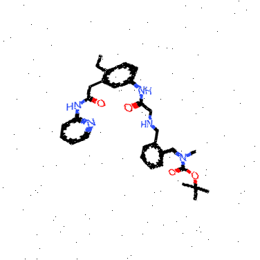 CCc1ccc(NC(=O)CNCc2ccccc2CN(C)C(=O)OC(C)(C)C)cc1CC(=O)Nc1ccccn1